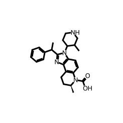 CC(c1ccccc1)c1nc2c3c(ccc2n1C1CCNCC1C)N(C(=O)O)[C@@H](C)CC3